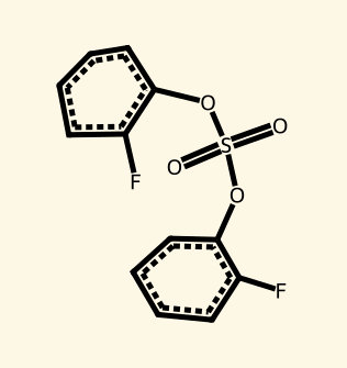 O=S(=O)(Oc1ccccc1F)Oc1ccccc1F